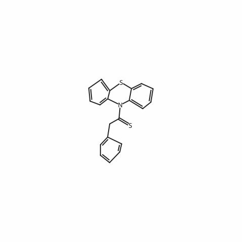 S=C(Cc1ccccc1)N1c2ccccc2Sc2ccccc21